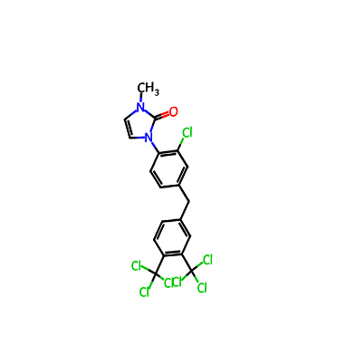 Cn1ccn(-c2ccc(Cc3ccc(C(Cl)(Cl)Cl)c(C(Cl)(Cl)Cl)c3)cc2Cl)c1=O